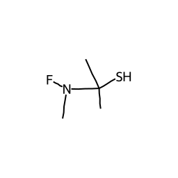 CN(F)C(C)(C)S